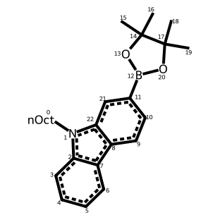 CCCCCCCCn1c2ccccc2c2ccc(B3OC(C)(C)C(C)(C)O3)cc21